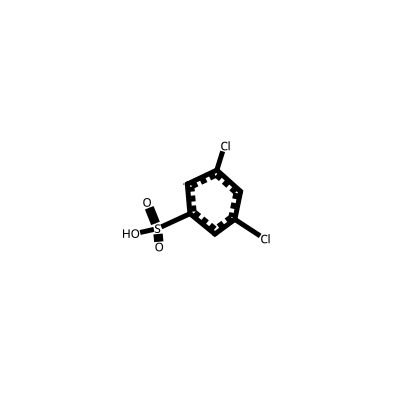 O=S(=O)(O)c1[c]c(Cl)cc(Cl)c1